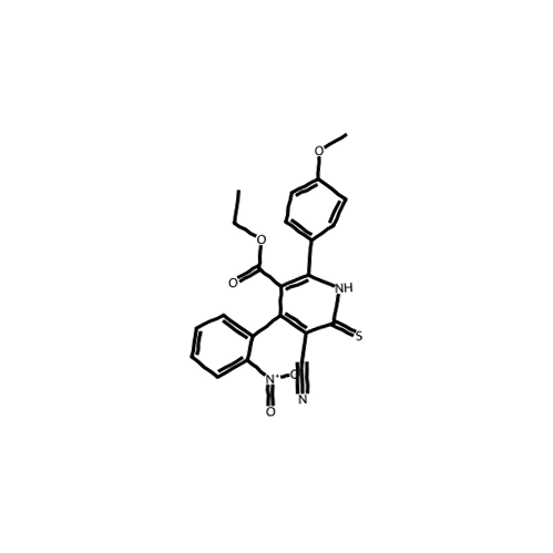 CCOC(=O)c1c(-c2ccc(OC)cc2)[nH]c(=S)c(C#N)c1-c1ccccc1[N+](=O)[O-]